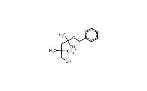 CC(C)(CO)CC(C)(C)OCc1ccccc1